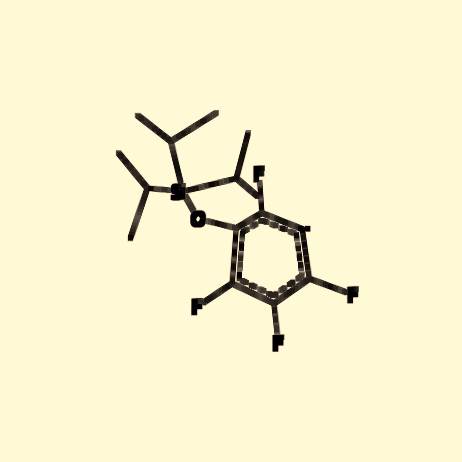 CC(C)[Si](Oc1c(F)[c]c(F)c(F)c1F)(C(C)C)C(C)C